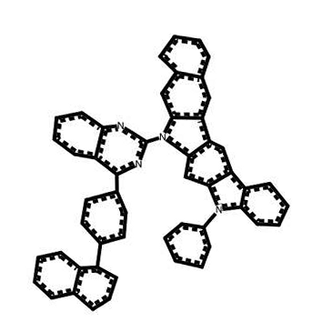 c1ccc(-n2c3ccccc3c3cc4c5cc6ccccc6cc5n(-c5nc(-c6ccc(-c7cccc8ccccc78)cc6)c6ccccc6n5)c4cc32)cc1